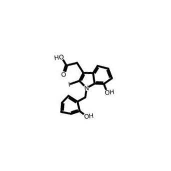 O=C(O)Cc1c(I)n(Cc2ccccc2O)c2c(O)cccc12